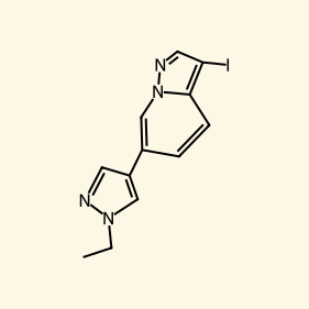 CCn1cc(-c2ccc3c(I)cnn3c2)cn1